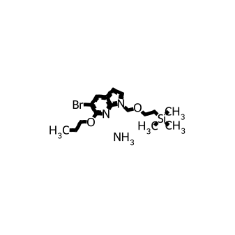 CCCOc1nc2c(ccn2COCC[Si](C)(C)C)cc1Br.N